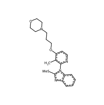 CSc1nc2ccccc2n1-c1nccc(OCCCN2CCOCC2)c1C